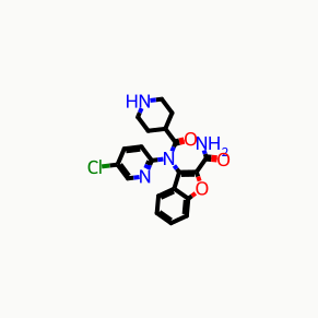 NC(=O)c1oc2ccccc2c1N(C(=O)C1CCNCC1)c1ccc(Cl)cn1